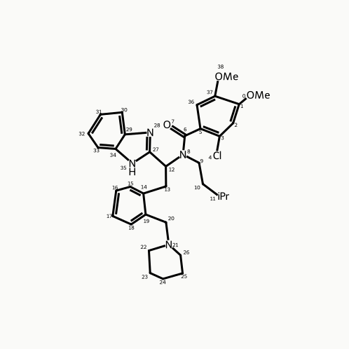 COc1cc(Cl)c(C(=O)N(CCC(C)C)C(Cc2ccccc2CN2CCCCC2)c2nc3ccccc3[nH]2)cc1OC